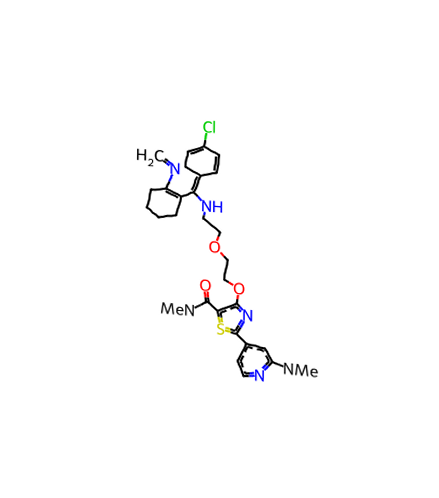 C=NC1=C(/C(NCCOCCOc2nc(-c3ccnc(NC)c3)sc2C(=O)NC)=C2/C=CC(Cl)=CC2)CCCC1